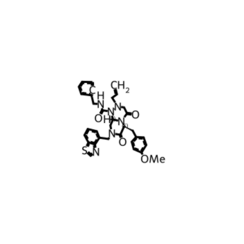 C=CCN1CC(=O)N2[C@@H](Cc3ccc(OC)cc3)C(=O)N(Cc3cccc4scnc34)C[C@@H]2N1C(=O)NCc1ccccc1